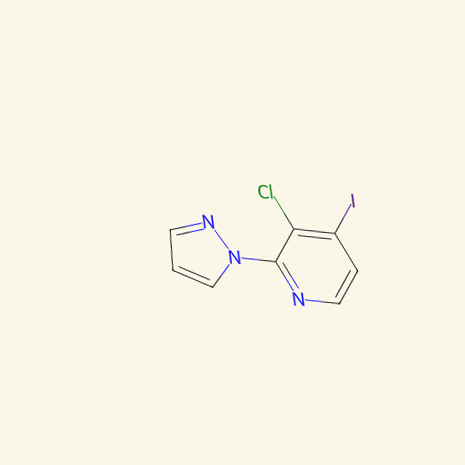 Clc1c(I)ccnc1-n1cccn1